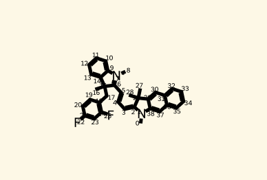 CN1/C(=C/C=C/C2=[N+](C)c3ccccc3C2(C)Cc2ccc(F)cc2F)C(C)(C)c2cc3ccccc3cc21